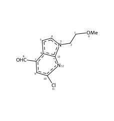 COCCn1ccc2c(C=O)cc(Cl)nc21